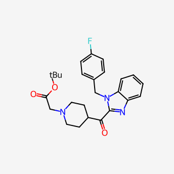 CC(C)(C)OC(=O)CN1CCC(C(=O)c2nc3ccccc3n2Cc2ccc(F)cc2)CC1